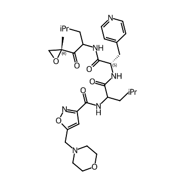 CC(C)CC(NC(=O)c1cc(CN2CCOCC2)on1)C(=O)N[C@@H](Cc1ccncc1)C(=O)NC(CC(C)C)C(=O)[C@@]1(C)CO1